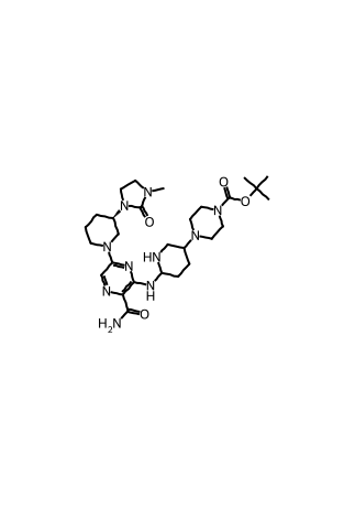 CN1CCN([C@@H]2CCCN(c3cnc(C(N)=O)c(NC4CCC(N5CCN(C(=O)OC(C)(C)C)CC5)CN4)n3)C2)C1=O